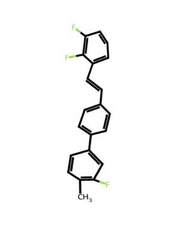 Cc1ccc(-c2ccc(/C=C/c3cccc(F)c3F)cc2)cc1F